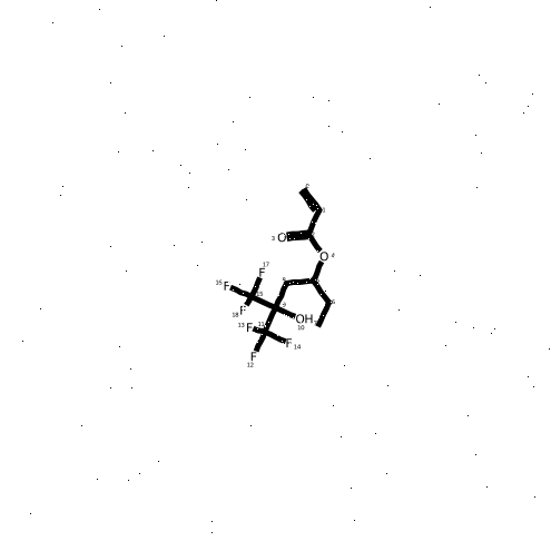 C=CC(=O)OC(CC)CC(O)(C(F)(F)F)C(F)(F)F